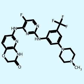 CN1CCN(c2cc(Nc3ncc(F)c(Nc4ccc5c(n4)NC(=O)CO5)n3)cc(C(F)(F)F)c2)CC1